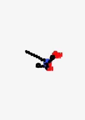 CCCCCCCCCCCCCCCCNN(C(=O)CCc1ccc(OP(=O)(O)O)cc1)C(C)C(=O)C(CC)(NCCCC1CCCCC1)C(=O)O